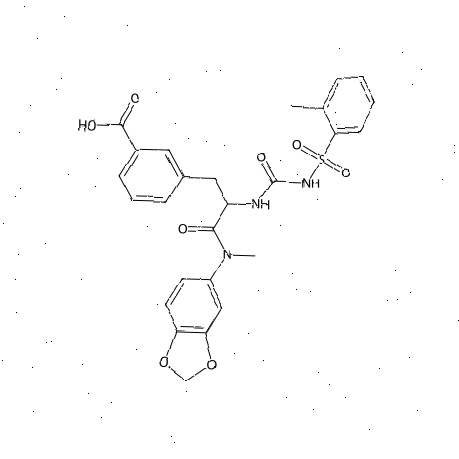 Cc1ccccc1S(=O)(=O)NC(=O)NC(Cc1cccc(C(=O)O)c1)C(=O)N(C)c1ccc2c(c1)OCO2